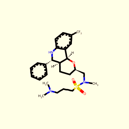 CN(C)CCCS(=O)(=O)N(C)C[C@H]1CC[C@@H]2[C@H](O1)c1cc(C(F)(F)F)ccc1N[C@H]2c1ccccc1